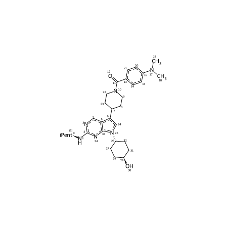 CCC[C@H](C)Nc1ncc2c(C3CCN(C(=O)c4ccc(N(C)C)cc4)CC3)cn([C@H]3CC[C@H](O)CC3)c2n1